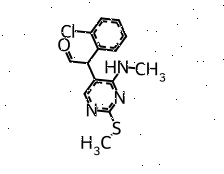 CNc1nc(SC)ncc1C(C=O)c1ccccc1Cl